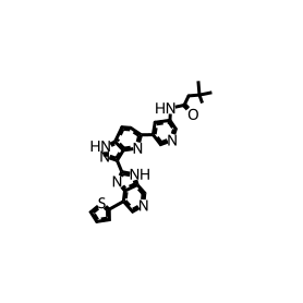 CC(C)(C)CC(=O)Nc1cncc(-c2ccc3[nH]nc(-c4nc5c(-c6cccs6)cncc5[nH]4)c3n2)c1